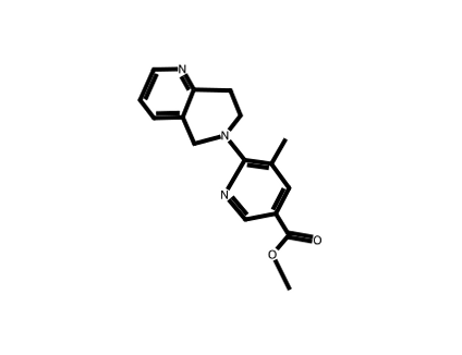 COC(=O)c1cnc(N2CCc3ncccc3C2)c(C)c1